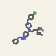 CC(C)=CCN(c1ccc(NCc2ccccc2)cc1)C1CCN(Cc2ccc(Br)cc2)CC1